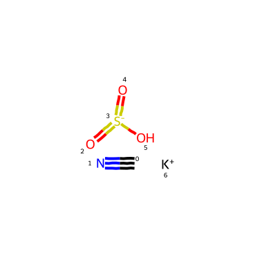 C#N.O=[S-](=O)O.[K+]